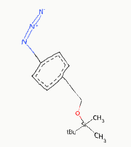 CC(C)(C)[Si](C)(C)OCc1ccc(N=[N+]=[N-])cc1